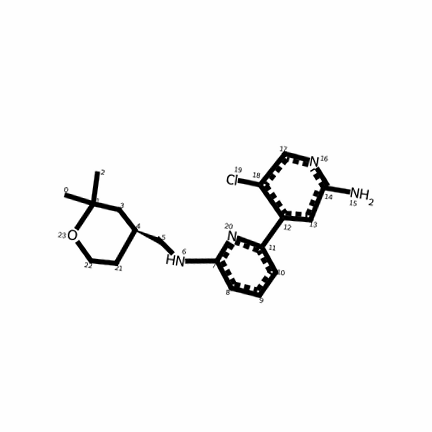 CC1(C)C[C@@H](CNc2cccc(-c3cc(N)ncc3Cl)n2)CCO1